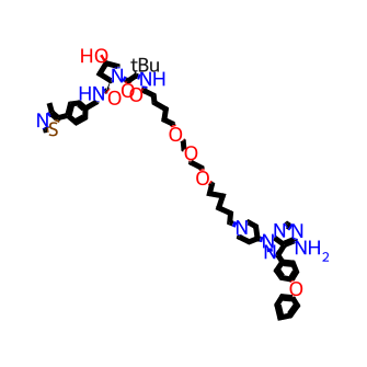 Cc1ncsc1-c1ccc(CNC(=O)[C@@H]2C[C@@H](O)CN2C(=O)[C@@H](NC(=O)CCCCCOCCOCCOCCCCCCN2CCC(n3nc(-c4ccc(Oc5ccccc5)cc4)c4c(N)ncnc43)CC2)C(C)(C)C)cc1